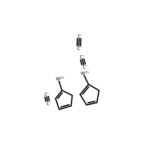 [C-]#[C-].[C-]#[C-].[C-]#[C-].[W+3][C]1=CC=CC1.[W+3][C]1=CC=CC1